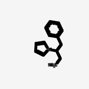 O=C(O)CC(Cc1ccccc1)[SH]1C=CC=C1